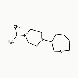 CC(C)N1CCN(C2CCCCCC2)CC1